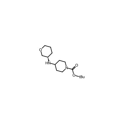 CC(C)(C)OC(=O)N1CCC(N[C@@H]2CCCOC2)CC1